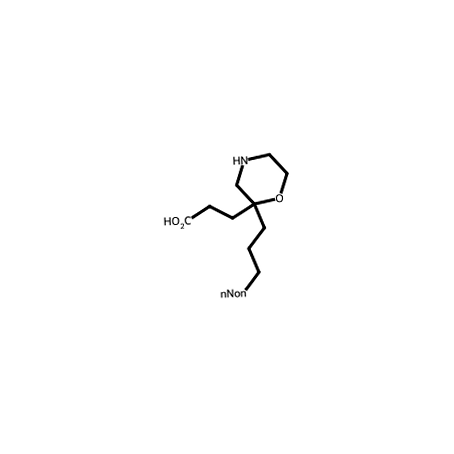 CCCCCCCCCCCCC1(CCC(=O)O)CNCCO1